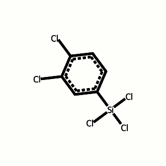 Clc1ccc([Si](Cl)(Cl)Cl)cc1Cl